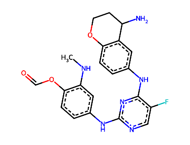 CNc1cc(Nc2ncc(F)c(Nc3ccc4c(c3)C(N)CCO4)n2)ccc1OC=O